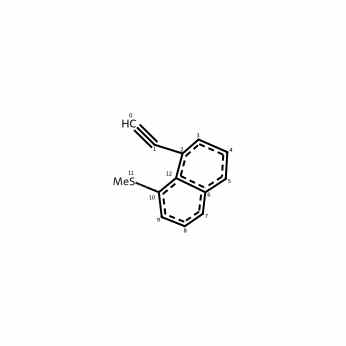 C#Cc1cccc2cccc(SC)c12